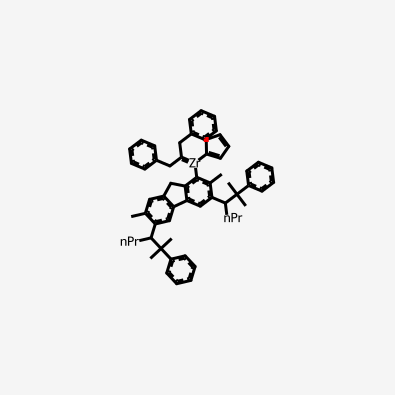 CCCC(c1cc2c(cc1C)Cc1c-2cc(C(CCC)C(C)(C)c2ccccc2)c(C)[c]1[Zr]([C]1=CC=CC1)=[C](Cc1ccccc1)Cc1ccccc1)C(C)(C)c1ccccc1